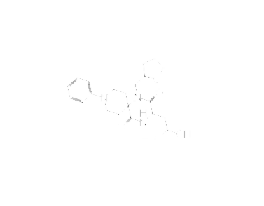 CC(C)CC1NC(=O)C2(CCN(c3ccccc3)CC2)N(CC2CCCO2)C1=O